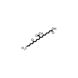 CCCCCC(=O)CCCC(CCCCCCC(=O)O)C(C)=O